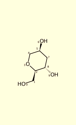 OC[C@H]1OC[C@@H](O)C[C@@H]1O